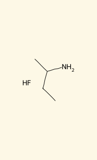 CCC(C)N.F